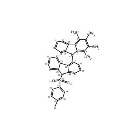 Bc1c(B)c(B)c2c(c1B)c1ccccc1n2-c1cccc2c1c1ccccc1n2S(=O)(=O)c1ccc(C)cc1